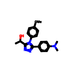 COc1ccc(-n2c(-c3ccc(N(C)C)cc3)nnc2C(C)O)cc1